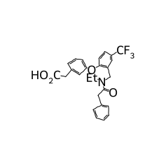 CCN(Cc1cc(C(F)(F)F)ccc1Oc1cccc(CC(=O)O)c1)C(=O)Cc1ccccc1